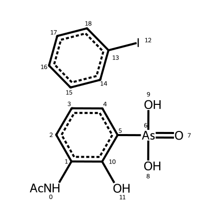 CC(=O)Nc1cccc([As](=O)(O)O)c1O.Ic1ccccc1